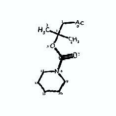 CC(=O)CC(C)(C)OC(=O)N1CCCCC1